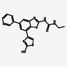 CCNC(=O)Nc1nc2cc(-c3cccnc3)cc(-c3csc(O)n3)c2s1